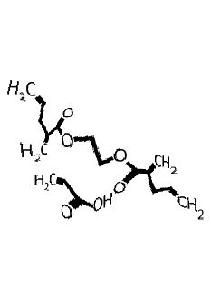 C=CC(=O)O.C=CCC(=C)C(=O)OCCOC(=O)C(=C)CC=C